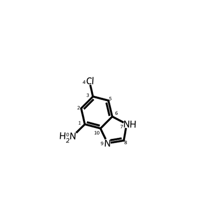 Nc1cc(Cl)cc2[nH]cnc12